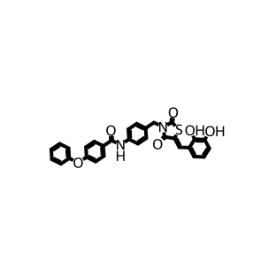 O=C(Nc1ccc(CN2C(=O)S/C(=C\c3cccc(O)c3O)C2=O)cc1)c1ccc(Oc2ccccc2)cc1